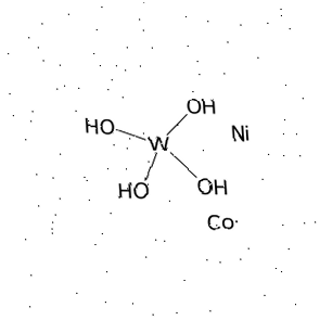 [Co].[Ni].[OH][W]([OH])([OH])[OH]